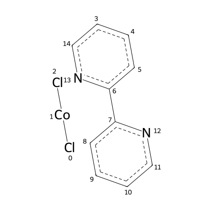 [Cl][Co][Cl].c1ccc(-c2ccccn2)nc1